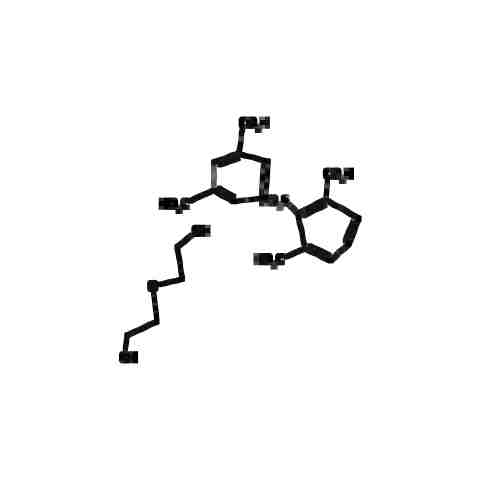 O=C(O)c1cccc(C(=O)O)c1.O=C(O)c1cccc(C(=O)O)c1S(=O)(=O)O.OCCOCCO